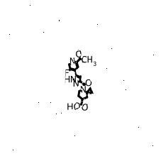 CC(=O)c1cc(-c2cc(C(=O)N3CCC(C(=O)O)CC34CC4)n[nH]2)c(F)cn1